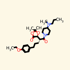 CCCN(C)C1CCN(C(=O)[C@H](CCCc2ccc(OCC)cc2)[C@@H]2OC(C)(C)OC2=O)CC1